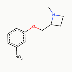 CN1CCC1COc1cccc([N+](=O)[O-])c1